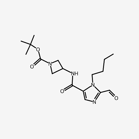 CCCCn1c(C(=O)NC2CN(C(=O)OC(C)(C)C)C2)cnc1C=O